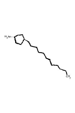 CCCCCCCCCCCC[C@H]1CC[C@H](N)CC1